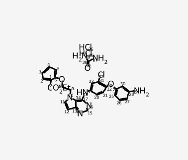 CCOC(=O)c1ccccc1OCCn1ccc2ncnc(Nc3ccc(Oc4cccc(N)c4)c(Cl)c3)c21.Cl.Cl.NC(N)=O